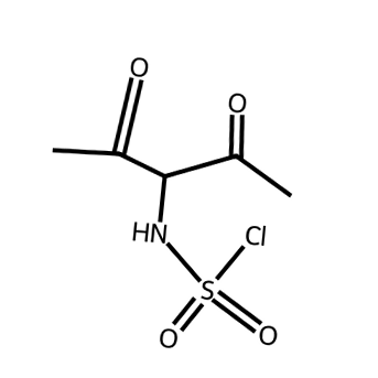 CC(=O)C(NS(=O)(=O)Cl)C(C)=O